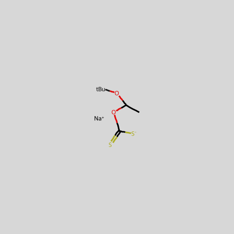 CC(OC(=S)[S-])OC(C)(C)C.[Na+]